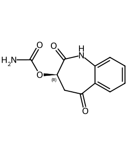 NC(=O)O[C@@H]1CC(=O)c2ccccc2NC1=O